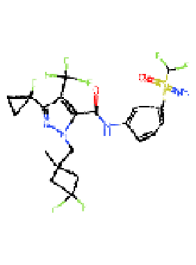 CC1(Cn2nc(C3(F)CC3)c(C(F)(F)F)c2C(=O)Nc2cccc(S(=N)(=O)C(F)F)c2)CC(F)(F)C1